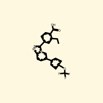 CCc1cc(-c2nnc3ccc(-c4ccc(OC(F)(F)F)cc4)cn23)ccc1C(=O)O